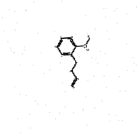 C=CCCc1ccccc1OC